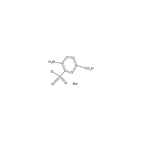 Nc1ccc(C(=O)O)cc1S(=O)(=O)[O-].[Na+]